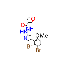 COc1ccc(Br)c(Br)c1C1CN=C(NNC(=O)C2CCOC2)C1